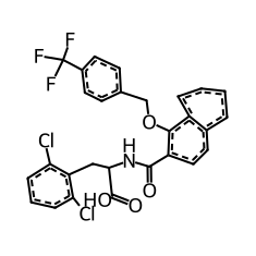 O=C(NC(Cc1c(Cl)cccc1Cl)C(=O)O)c1ccc2ccccc2c1OCc1ccc(C(F)(F)F)cc1